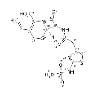 C=CC1=C(C(=O)O)N2C(=O)C(NC(=O)Cc3csc(NS(C)(=O)=O)n3)[C@H]2SC1